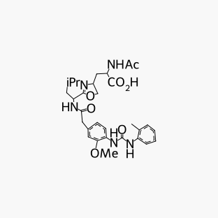 COc1cc(CC(=O)NC(CC(C)C)C2=NC(CC(NC(C)=O)C(=O)O)CO2)ccc1NC(=O)Nc1ccccc1C